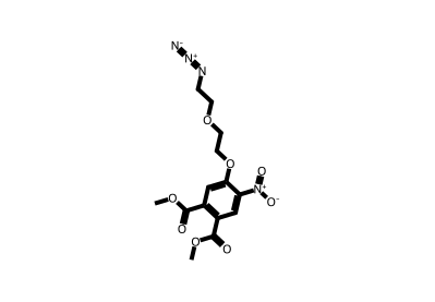 COC(=O)c1cc(OCCOCCN=[N+]=[N-])c([N+](=O)[O-])cc1C(=O)OC